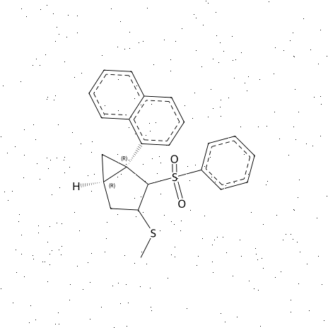 CSC1C[C@H]2C[C@@]2(c2cccc3ccccc23)C1S(=O)(=O)c1ccccc1